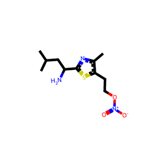 Cc1nc(C(N)CC(C)C)sc1CCO[N+](=O)[O-]